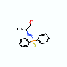 CC(CO)N=NP(=S)(c1ccccc1)c1ccccc1